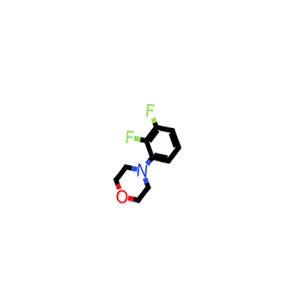 Fc1cccc(N2CCOCC2)c1F